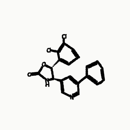 O=C1N[C@H](c2cncc(-c3ccccc3)c2)[C@@H](c2cccc(Cl)c2Cl)O1